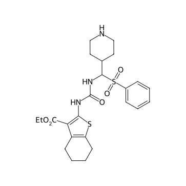 CCOC(=O)c1c(NC(=O)NC(C2CCNCC2)S(=O)(=O)c2ccccc2)sc2c1CCCC2